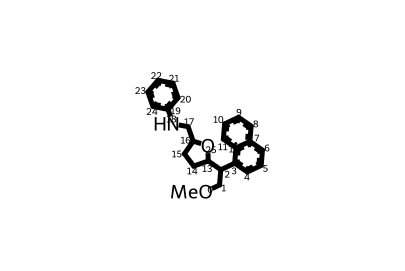 COCC(c1cccc2ccccc12)C1CCC(CNc2ccccc2)O1